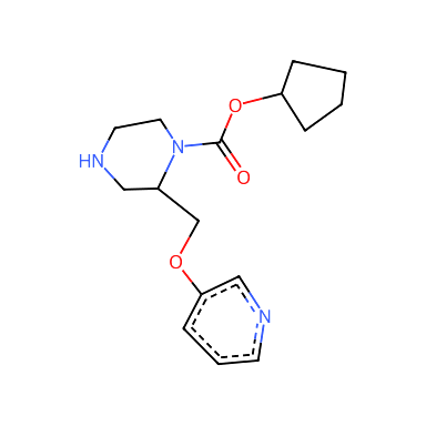 O=C(OC1CCCC1)N1CCNCC1COc1cccnc1